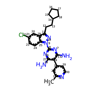 Cc1cc(-c2c(N)nc(-n3nc(CCC4CCCC4)c4cc(Cl)ccc43)nc2N)ccn1